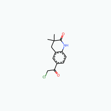 CC1(C)Cc2cc(C(=O)CCl)ccc2NC1=O